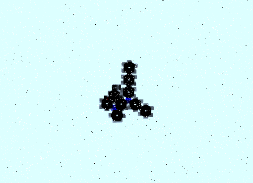 CC1C[C@@H]2CCC[C@@H](C1)C21c2ccccc2-n2c3ccccc3c3cc(N(c4ccc(-c5ccccc5)cc4)c4ccc(-c5ccc(-c6ccccc6)cc5)cc4)cc1c32